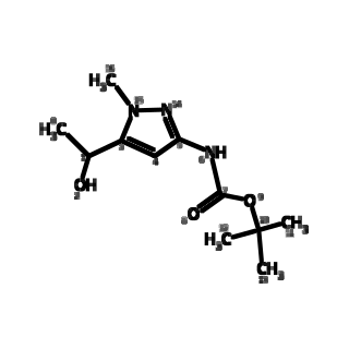 CC(O)c1cc(NC(=O)OC(C)(C)C)nn1C